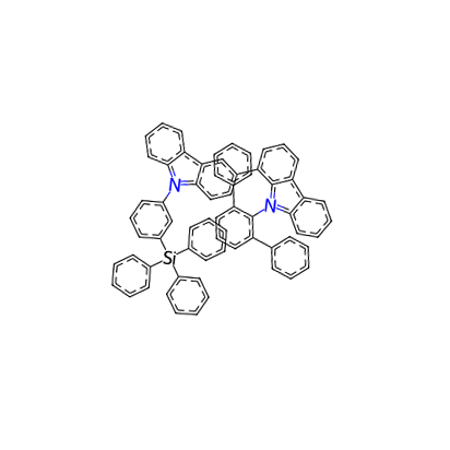 c1ccc(-c2cccc(-c3ccccc3)c2-n2c3ccccc3c3cccc(-c4ccc5c(c4)c4ccccc4n5-c4cccc([Si](c5ccccc5)(c5ccccc5)c5ccccc5)c4)c32)cc1